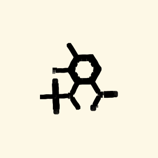 Cc1ccc([N+](=O)[O-])c(N(C)S(C)(=O)=O)c1F